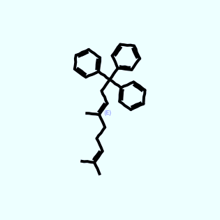 CC(C)=CCC/C(C)=C/CC(c1ccccc1)(c1ccccc1)c1ccccc1